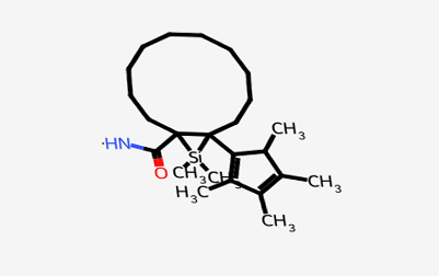 CC1=C(C)C(C)C(C23CCCCCCCCCCC2(C([NH])=O)[Si]3(C)C)=C1C